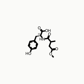 COC(=O)CC(C)C(=O)N[C@@H](Cc1ccc(O)cc1)C(=O)O